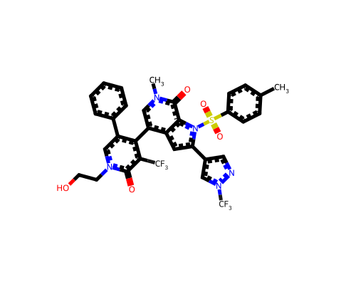 Cc1ccc(S(=O)(=O)n2c(-c3cnn(C(F)(F)F)c3)cc3c(-c4c(-c5ccccc5)cn(CCO)c(=O)c4C(F)(F)F)cn(C)c(=O)c32)cc1